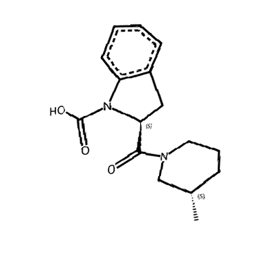 C[C@H]1CCCN(C(=O)[C@@H]2Cc3ccccc3N2C(=O)O)C1